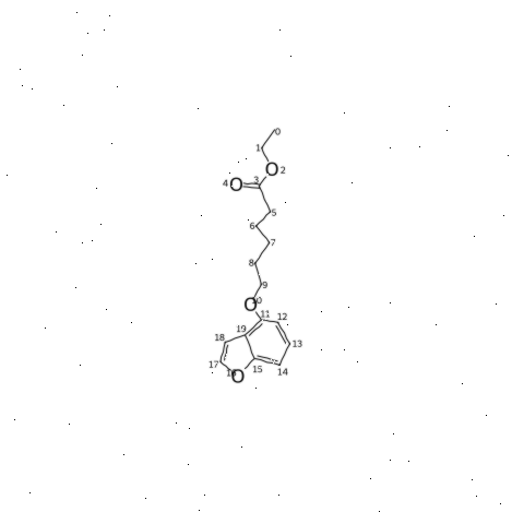 CCOC(=O)CCCCCOc1cccc2occc12